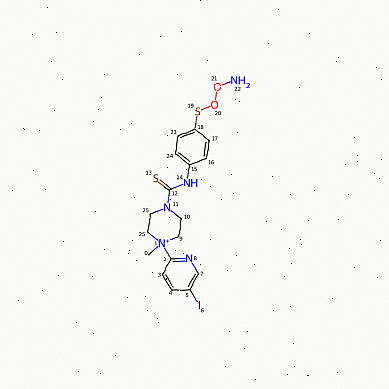 C[N+]1(c2ccc(I)cn2)CCN(C(=S)Nc2ccc(SOON)cc2)CC1